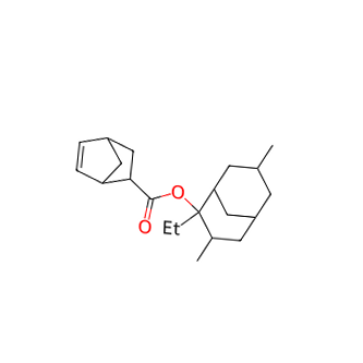 CCC1(OC(=O)C2CC3C=CC2C3)C(C)CC2CC(C)CC1C2